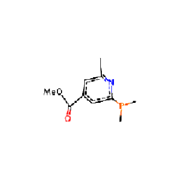 COC(=O)c1cc(C)nc(P(C)C)c1